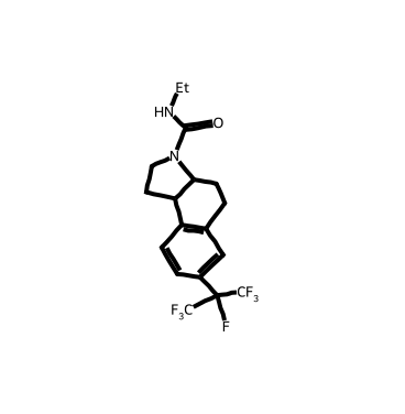 CCNC(=O)N1CCC2c3ccc(C(F)(C(F)(F)F)C(F)(F)F)cc3CCC21